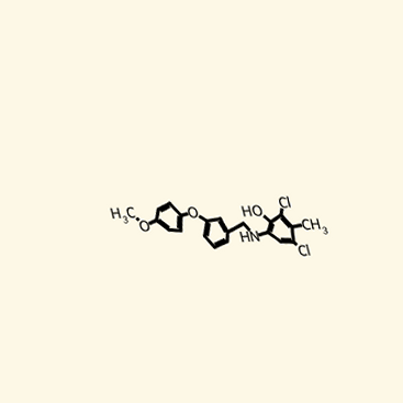 COc1ccc(Oc2cccc(CNc3cc(Cl)c(C)c(Cl)c3O)c2)cc1